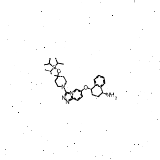 CC(C)[Si](OC1(C)CCN(c2nnc3ccc(O[C@@H]4CC[C@H](N)c5ccccc54)cn23)CC1)(C(C)C)C(C)C